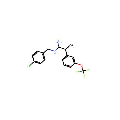 CC(c1cccc(OC(F)(F)F)c1)C(N)NCc1ccc(Cl)cc1